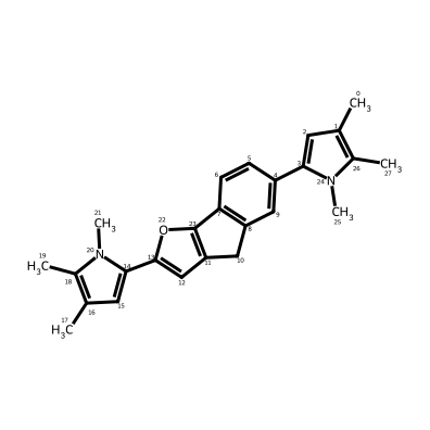 Cc1cc(-c2ccc3c(c2)Cc2cc(-c4cc(C)c(C)n4C)oc2-3)n(C)c1C